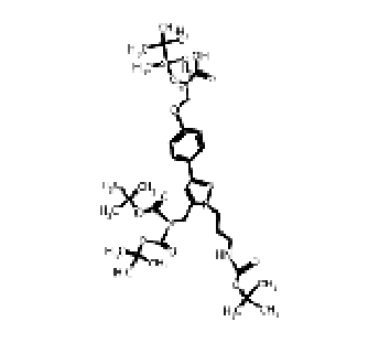 CC(C)(C)OC(=O)NCCCn1nc(-c2ccc(OC[C@@H](O[Si](C)(C)C(C)(C)C)C(=O)O)cc2)cc1CN(C(=O)OC(C)(C)C)C(=O)OC(C)(C)C